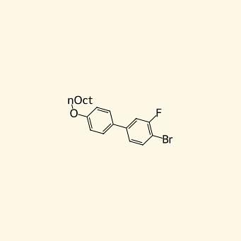 CCCCCCCCOc1ccc(-c2ccc(Br)c(F)c2)cc1